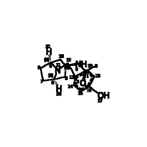 CC(=O)N[C@H]1C[C@H]2CC[C@@H](C1)N2Cc1ccc(O)cc1